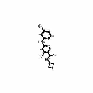 O=C(NC1CCC1)c1cnc(Nc2cccc(Br)c2)cc1C(F)(F)F